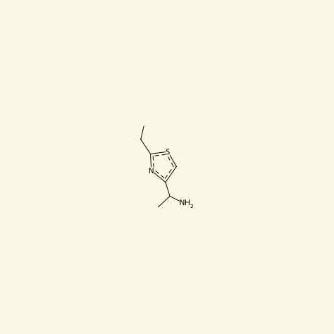 CCc1nc(C(C)N)cs1